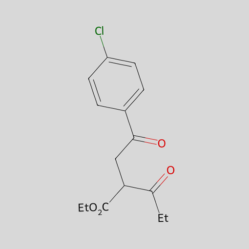 CCOC(=O)C(CC(=O)c1ccc(Cl)cc1)C(=O)CC